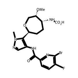 CO[C@H]1CO[C@H](c2c(NC(=O)c3ccc(F)c(Br)n3)cnn2C)CC[C@H]1NC(=O)O